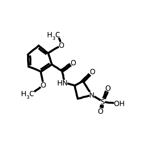 COc1cccc(OC)c1C(=O)NC1CN(S(=O)(=O)O)C1=O